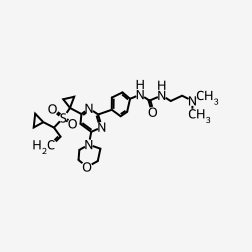 C=CC(C1CC1)S(=O)(=O)C1(c2cc(N3CCOCC3)nc(-c3ccc(NC(=O)NCCN(C)C)cc3)n2)CC1